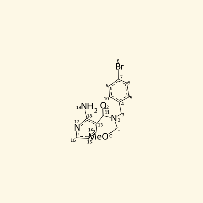 COCN(Cc1ccc(Br)cc1)C(=O)c1cccnc1N